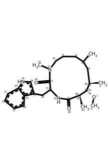 CO[C@H]1[C@H](C)CC(C)CCCN(C)C(=O)C(Cc2c[nH]c3ccccc23)NC(=O)[C@@H]1C